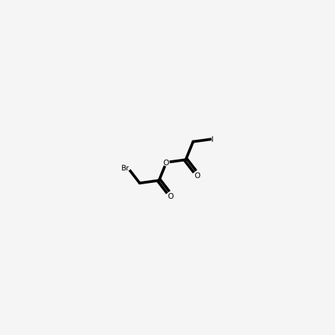 O=C(CBr)OC(=O)CI